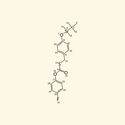 CC(C)(C)[Si](C)(C)Oc1ccc(CSC(=O)Oc2ccc(F)cc2)cc1